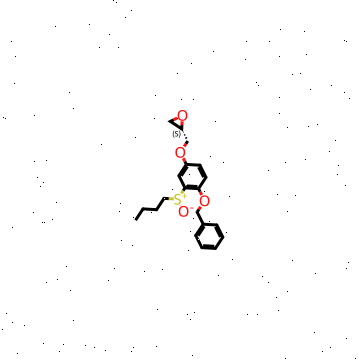 CCCC[S+]([O-])c1cc(OC[C@@H]2CO2)ccc1OCc1ccccc1